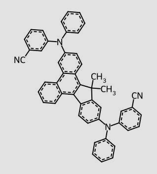 CC1(C)c2cc(N(c3ccccc3)c3cccc(C#N)c3)ccc2-c2c1c1ccc(N(c3ccccc3)c3cccc(C#N)c3)cc1c1ccccc21